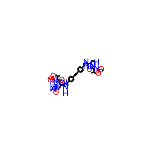 CNC(=O)N1CC(c2nc(-c3ccc(C#Cc4ccc(-c5cnc(C6CCCN6C(=O)C(NC(=O)OC)C(C)C)[nH]5)cc4)cc3)c[nH]2)N(C(=O)C(NC(=O)OC)C(C)C)C1